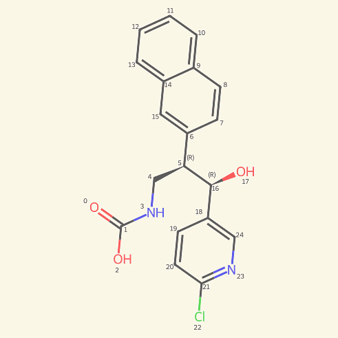 O=C(O)NC[C@@H](c1ccc2ccccc2c1)[C@@H](O)c1ccc(Cl)nc1